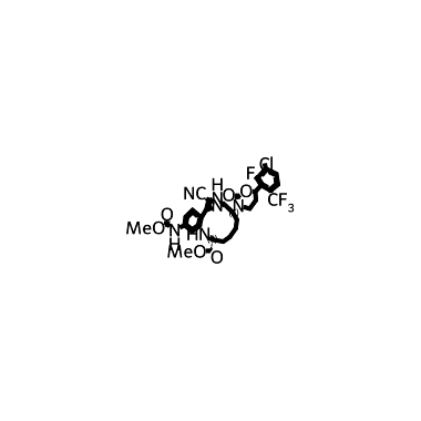 COC(=O)Nc1ccc2c(c1)N[C@@H](C(=O)OC)CCCC[C@H](N1CCC(c3c(C(F)(F)F)ccc(Cl)c3F)OC1=O)c1nc-2c(C#N)[nH]1